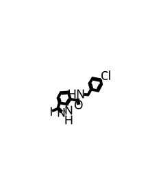 O=C(NCc1ccc(Cl)cc1)c1cccc2c(I)n[nH]c12